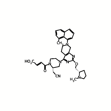 Cc1cccc2cccc(N3CCc4c(nc(OC[C@@H]5CCCN5C)nc4N4CCN(C(=O)C=CC(=O)O)[C@@H](CC#N)C4)C3)c12